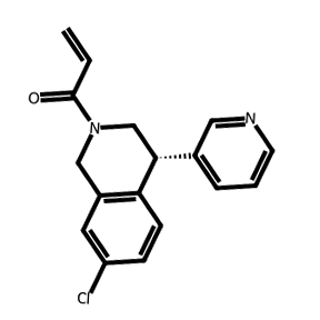 C=CC(=O)N1Cc2cc(Cl)ccc2[C@@H](c2cccnc2)C1